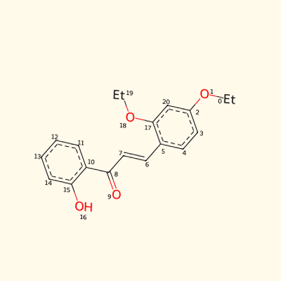 CCOc1ccc(C=CC(=O)c2ccccc2O)c(OCC)c1